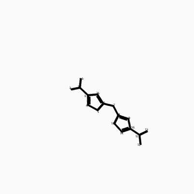 CC(C)C1=CCC(CC2=CC(C(C)C)=CC2)=C1